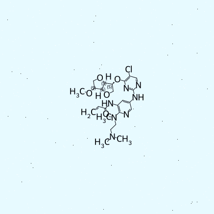 C=CC(=O)Nc1cc(Nc2ncc(Cl)c(O[C@H]3CO[C@@H]4[C@H]3OC[C@@H]4OC)n2)cnc1N(C)CCN(C)C